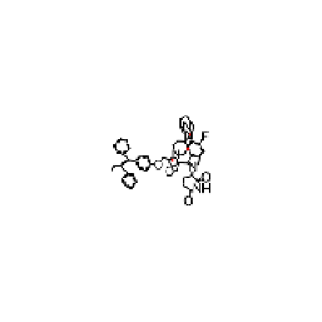 CCC(=C(c1ccccc1)c1ccc(OCCN2CCC(CN3C4CCC3CN(c3cc5c(cc3F)CN(C3CCC(=O)NC3=O)C5C(=O)C=O)C4)CC2)cc1)c1ccccc1